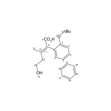 CCCCOc1ccccc1/C(C(=O)O)=C(/C)CCO.c1ccccc1